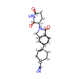 N#CB1CC=C(c2ccc3c(c2)CN(C2CCC(=O)NC2=O)C3=O)CC1